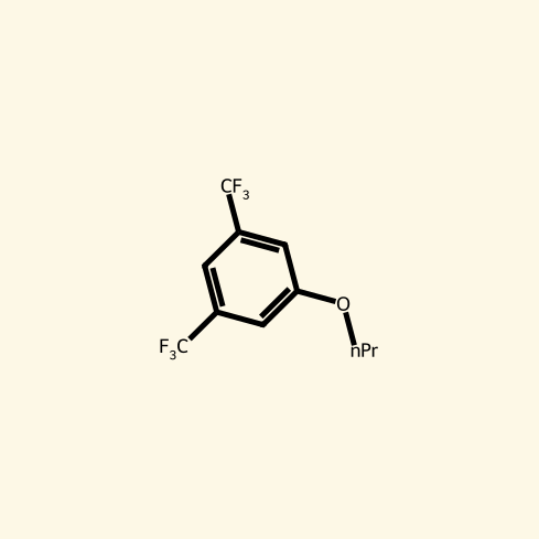 CCCOc1cc(C(F)(F)F)cc(C(F)(F)F)c1